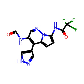 O=CNc1cnn2c(NC(=O)C(F)(F)F)ccc2c1-c1cn[nH]c1